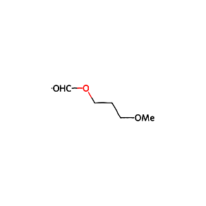 COCCCO[C]=O